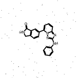 O=C1NCc2ccc(-c3cccc4nc(Nc5ccccc5)nn34)cc21